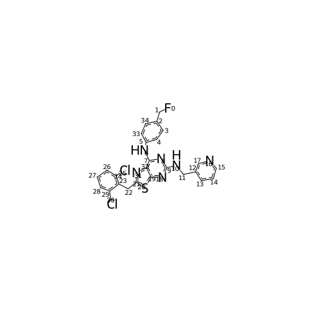 FCc1ccc(Nc2nc(NCc3cccnc3)nc3sc(Cc4c(Cl)cccc4Cl)nc23)cc1